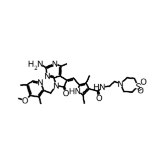 COc1c(C)cnc(CN2C(=O)/C(=C\c3[nH]c(C)c(C(=O)NCCN4CCS(=O)(=O)CC4)c3C)c3c(C)nc(N)nc32)c1C